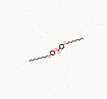 CCCCCCCCCCOc1ccc(OC(=O)c2ccc(OCCCCCCCCC)cc2)cc1